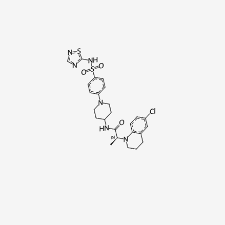 C[C@@H](C(=O)NC1CCN(c2ccc(S(=O)(=O)Nc3ncns3)cc2)CC1)N1CCCc2cc(Cl)ccc21